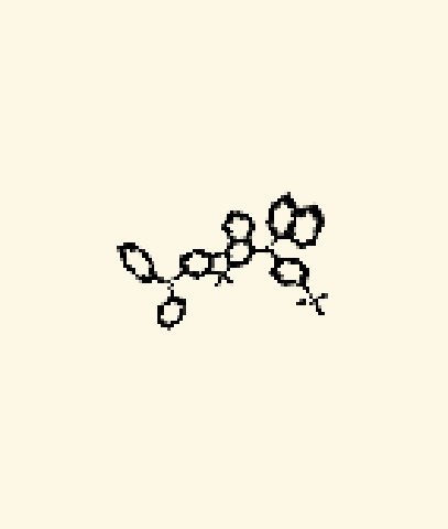 CC1(C)c2cc(N(c3ccccc3)c3ccccc3)ccc2-c2c1cc(N(c1ccc([Si](C)(C)C)cc1)c1cccc3ccccc13)c1ccccc21